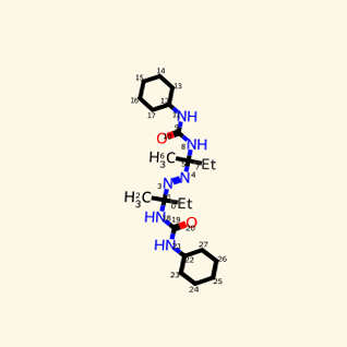 CCC(C)(N=NC(C)(CC)NC(=O)NC1CCCCC1)NC(=O)NC1CCCCC1